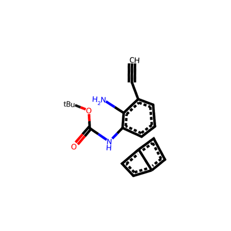 C#Cc1cccc(NC(=O)OC(C)(C)C)c1N.c1cc2ccc1-2